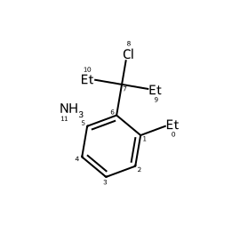 CCc1ccccc1C(Cl)(CC)CC.N